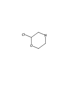 ClC1C[N]CCO1